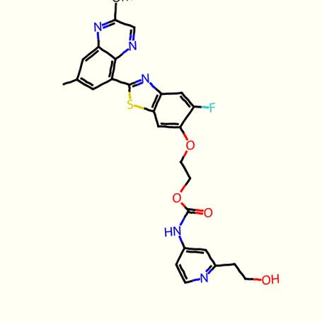 COc1cnc2c(-c3nc4cc(F)c(OCCOC(=O)Nc5ccnc(CCO)c5)cc4s3)cc(C)cc2n1